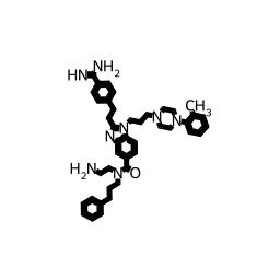 Cc1ccccc1N1CCN(CCCn2c(CCc3ccc(C(=N)N)cc3)nc3cc(C(=O)N(CCN)CCCc4ccccc4)ccc32)CC1